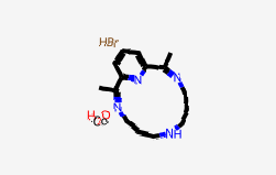 Br.C/C1=N/CCCNCCC/N=C(/C)c2cccc1n2.O.[Co]